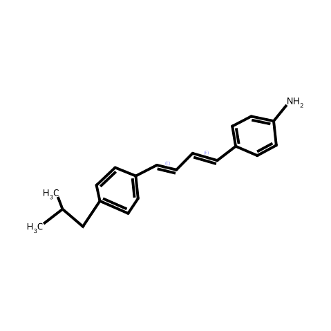 CC(C)Cc1ccc(/C=C/C=C/c2ccc(N)cc2)cc1